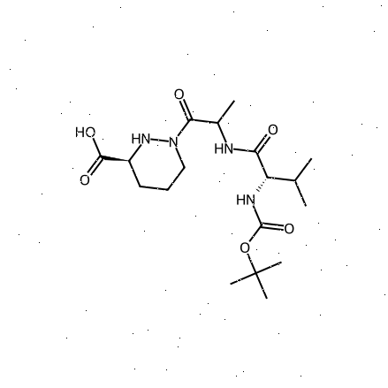 CC(NC(=O)[C@@H](NC(=O)OC(C)(C)C)C(C)C)C(=O)N1CCC[C@@H](C(=O)O)N1